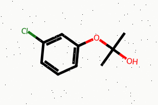 CC(C)(O)Oc1cccc(Cl)c1